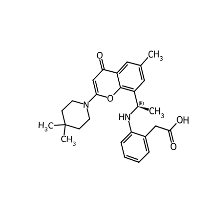 Cc1cc([C@@H](C)Nc2ccccc2CC(=O)O)c2oc(N3CCC(C)(C)CC3)cc(=O)c2c1